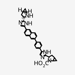 O=C(O)N1C(c2ncc(-c3ccc(-c4ccc5cc(-c6cnc([C@@H]7C[C@H]8C[C@H]8N7)[nH]6)ccc5c4)cc3)[nH]2)CC2CC21